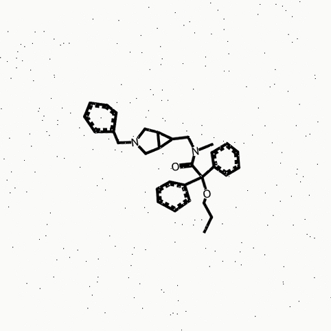 CCCOC(C(=O)N(C)CC1C2CN(Cc3ccccc3)CC21)(c1ccccc1)c1ccccc1